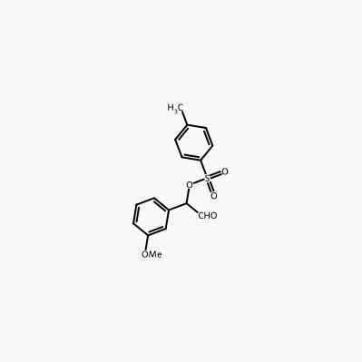 COc1cccc(C(C=O)OS(=O)(=O)c2ccc(C)cc2)c1